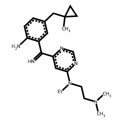 CCN(CCN(C)C)c1cc(C(=N)c2cc(CC3(C)CC3)ccc2N)ncn1